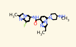 CCc1cn2c(N3CCC(NC)CC3)ccc(C(=O)Nc3cc(F)c4nc(C)cn4c3)c2n1